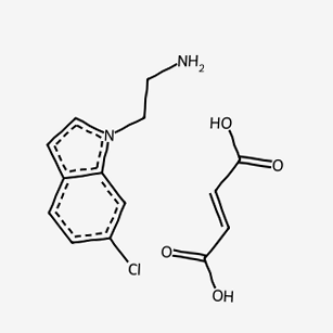 NCCn1ccc2ccc(Cl)cc21.O=C(O)C=CC(=O)O